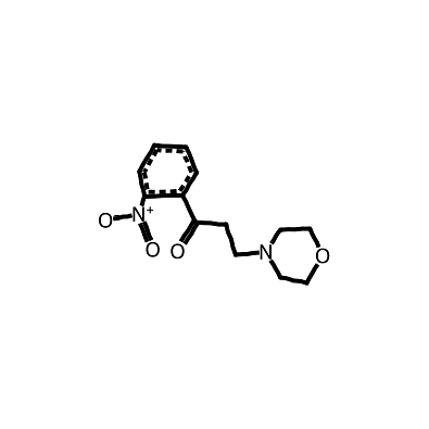 O=C(CCN1CCOCC1)c1ccccc1[N+](=O)[O-]